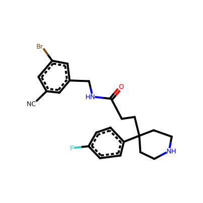 N#Cc1cc(Br)cc(CNC(=O)CCC2(c3ccc(F)cc3)CCNCC2)c1